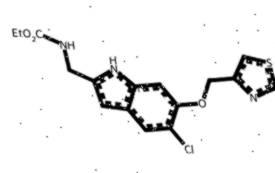 CCOC(=O)NCc1cc2cc(Cl)c(OCc3cscn3)cc2[nH]1